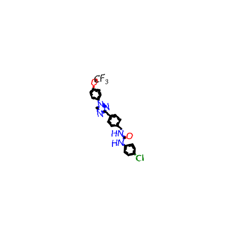 O=C(NCc1ccc(-c2ncn(-c3ccc(OC(F)(F)F)cc3)n2)cc1)Nc1ccc(Cl)cc1